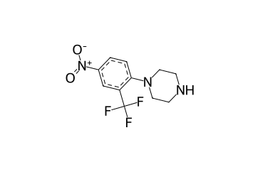 O=[N+]([O-])c1ccc(N2CCNCC2)c(C(F)(F)F)c1